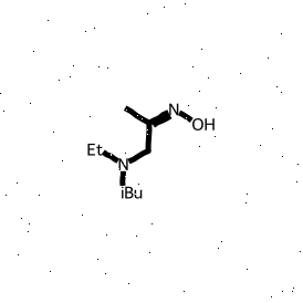 CCC(C)N(CC)C/C(C)=N\O